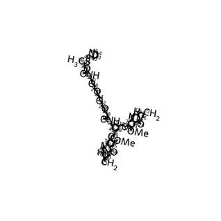 C=C1C[C@H]2C=Nc3cc(OCc4cc(CNC(=O)CCOCCOCCOCCOCCNC(=O)OC[C@@H](C)SSc5ccccn5)cc(COc5cc6c(cc5OC)C(=O)N5CC(=C)C[C@H]5C=N6)c4)c(OC)cc3C(=O)N2C1